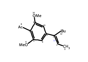 C/C=C(/c1cc(OC)c(C(C)=O)c(OC)c1)C(C)CC